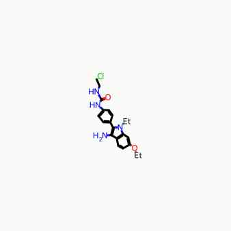 CCOc1ccc2c(N)c(-c3ccc(NC(=O)NCCCl)cc3)n(CC)c2c1